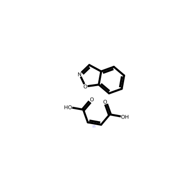 O=C(O)/C=C\C(=O)O.c1ccc2oncc2c1